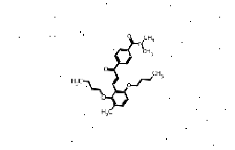 CCCCOc1ccc(C)c(OCCCC)c1C=CC(=O)c1ccc(C(=O)N(C)C)cc1